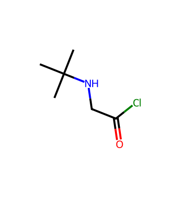 CC(C)(C)NCC(=O)Cl